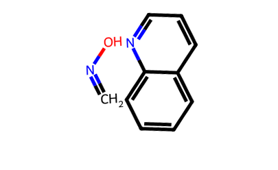 C=NO.c1ccc2ncccc2c1